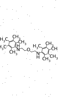 Cc1c(C)c(C)c(NCCOCCNc2c(C)c(C)c(C)c(C)c2C)c(C)c1C